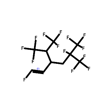 F/C=C/C(CC(F)(C(F)(F)F)C(F)(F)F)C(C(F)(F)F)C(F)(F)F